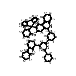 c1ccc(-c2nc(-c3cccc(-c4nc5ccccc5c5cc6c(cc45)Sc4ccccc4C64c5ccccc5-c5ccccc54)c3)cc(-c3cccc4c3oc3ccccc34)n2)cc1